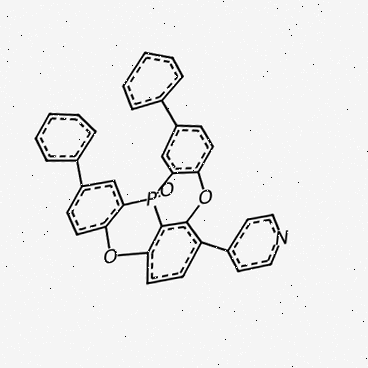 O=P12c3cc(-c4ccccc4)ccc3Oc3ccc(-c4ccncc4)c(c31)Oc1ccc(-c3ccccc3)cc12